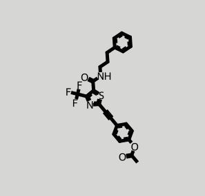 CC(=O)Oc1ccc(C#Cc2nc(C(F)(F)F)c(C(=O)NCCCc3ccccc3)s2)cc1